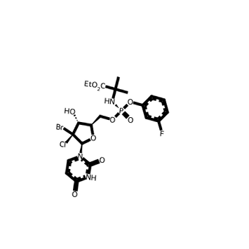 CCOC(=O)C(C)(C)N[P@](=O)(OC[C@H]1O[C@@H](n2ccc(=O)[nH]c2=O)[C@](Cl)(Br)[C@@H]1O)Oc1cccc(F)c1